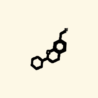 FCc1ccc2c(c1)OC(C1CCCCC1)CC2